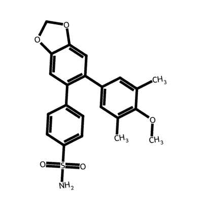 COc1c(C)cc(-c2cc3c(cc2-c2ccc(S(N)(=O)=O)cc2)OCO3)cc1C